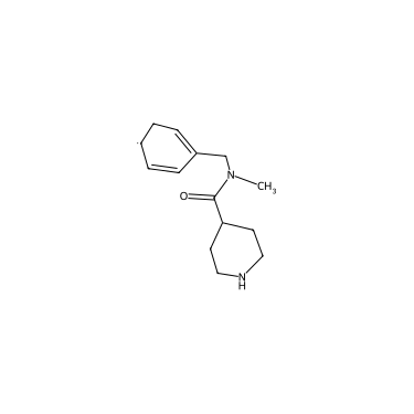 CN(CC1=CC[CH]C=C1)C(=O)C1CCNCC1